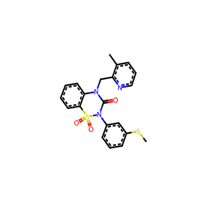 CSc1cccc(N2C(=O)N(Cc3ncccc3C)c3ccccc3S2(=O)=O)c1